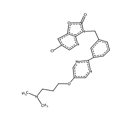 CN(C)CCCOc1cnc(-c2cccc(Cn3c(=O)oc4cc(Cl)cnc43)c2)nc1